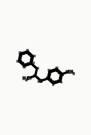 Cc1ccc(OC(C)Cc2cc[c]cc2)cc1